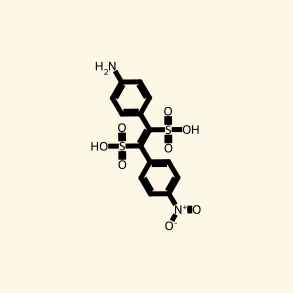 Nc1ccc(C(=C(c2ccc([N+](=O)[O-])cc2)S(=O)(=O)O)S(=O)(=O)O)cc1